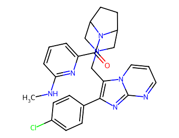 CNc1cccc(C(=O)N2C3CCC2CN(Cc2c(-c4ccc(Cl)cc4)nc4ncccn24)C3)n1